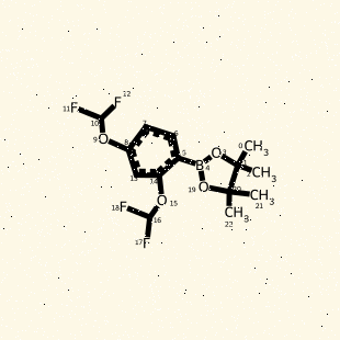 CC1(C)OB(c2ccc(OC(F)F)cc2OC(F)F)OC1(C)C